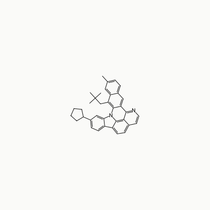 Cc1ccc2cc3c4nccc5ccc6c7ccc(C8CCCC8)cc7n(c3c(CC(C)(C)C)c2c1)c6c54